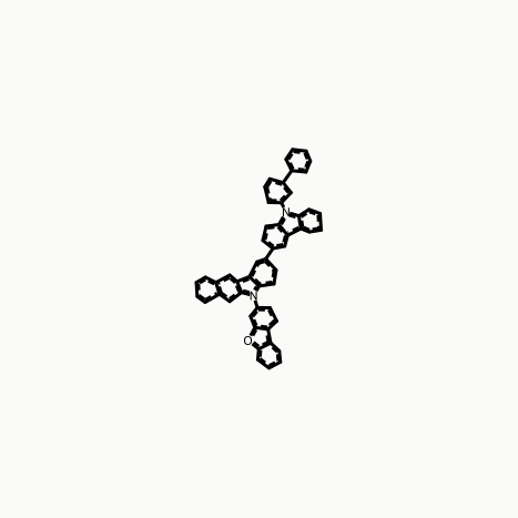 c1ccc(-c2cccc(-n3c4ccccc4c4cc(-c5ccc6c(c5)c5cc7ccccc7cc5n6-c5ccc6c(c5)oc5ccccc56)ccc43)c2)cc1